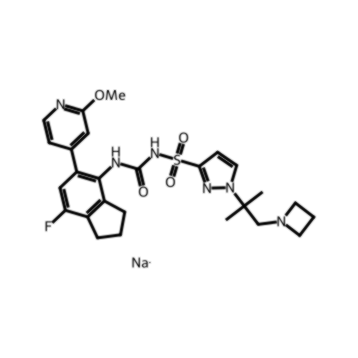 COc1cc(-c2cc(F)c3c(c2NC(=O)NS(=O)(=O)c2ccn(C(C)(C)CN4CCC4)n2)CCC3)ccn1.[Na]